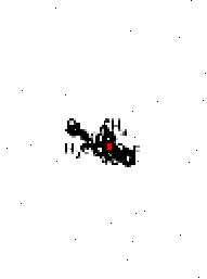 COc1ccc2c3c1O[C@H]1[C@H](N(C)C(=O)/C=C/c4ccoc4)CC[C@@]4(O)[C@@H](C2)N(S(=O)(=O)c2cccc(F)c2)CC[C@]314